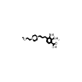 COCCN1CCN(CCCc2ccc(C(=O)O)c(N)c2N)CC1